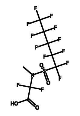 CN(C(F)(F)C(=O)O)S(=O)(=O)C(F)(F)C(F)(F)C(F)(F)C(F)(F)C(F)(F)F